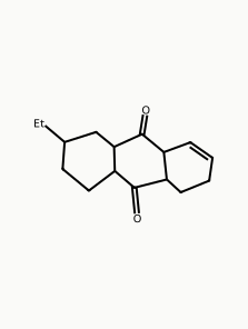 CCC1CCC2C(=O)C3CCC=CC3C(=O)C2C1